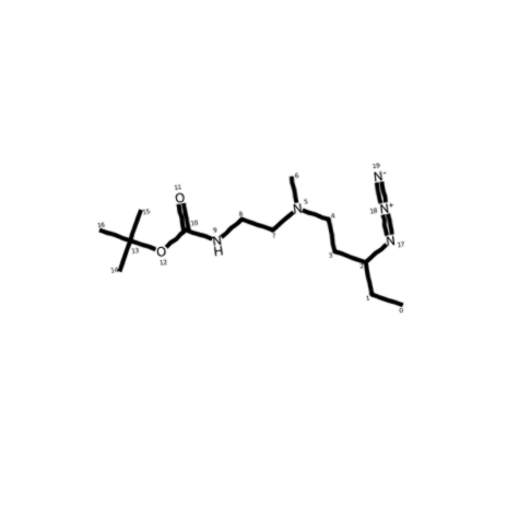 CCC(CCN(C)CCNC(=O)OC(C)(C)C)N=[N+]=[N-]